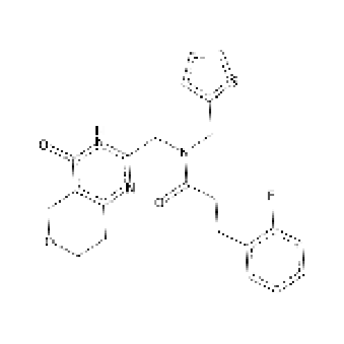 O=C(CCc1ccccc1F)N(Cc1nc2c(c(=O)[nH]1)COCC2)Cc1cccs1